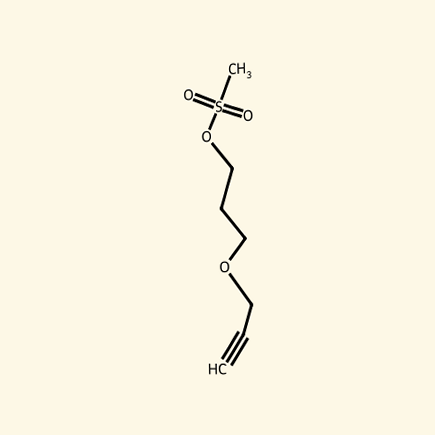 C#CCOCCCOS(C)(=O)=O